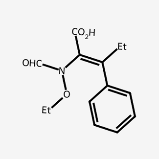 CCON(C=O)C(C(=O)O)=C(CC)c1ccccc1